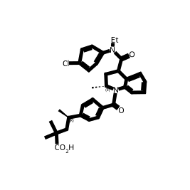 CCN(C(=O)C1C[C@@H](C)N(C(=O)c2ccc([C@H](C)CC(C)(C)C(=O)O)cc2)c2ccccc21)c1ccc(Cl)cc1